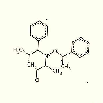 CC(ON(C(C)CCl)C(c1ccccc1)C(C)C)c1ccccc1